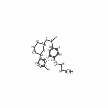 Cc1nc(C2CN(CC(C)c3ccc(OCCO)cc3)CCO2)cs1